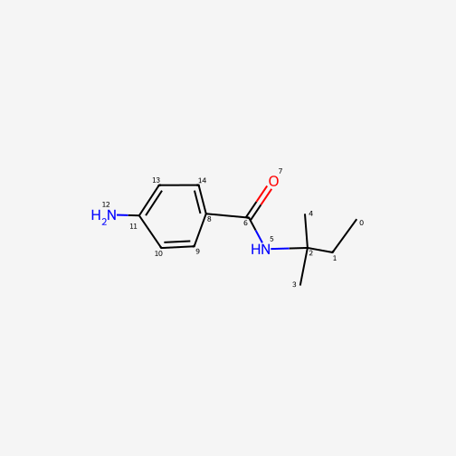 CCC(C)(C)NC(=O)c1ccc(N)cc1